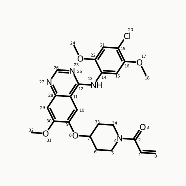 C=CC(=O)N1CCC(Oc2cc3c(Nc4cc(OC)c(Cl)cc4OC)ncnc3cc2OC)CC1